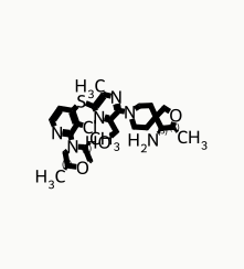 Cc1nc(N2CCC3(CC2)CO[C@@H](C)[C@H]3N)c(CO)nc1Sc1ccnc(N2C[C@H](C)OC[C@@H]2C)c1Cl